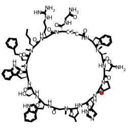 CCCC[C@H]1C(=O)N[C@@H](CCCNC(=N)N)C(=O)N[C@H](C(=O)NCC(N)=O)CSCC(=O)N[C@@H](Cc2ccccc2)C(=O)N(C)[C@@H](C)C(=O)N[C@@H](CC(N)=O)C(=O)N2CCC[C@H]2C(=O)N[C@@H](Cc2cnc[nH]2)C(=O)N[C@@H](CC(C)C)C(=O)N(C)CC(=O)N[C@@H](Cc2c[nH]c3ccccc23)C(=O)N[C@@H](CO)C(=O)N[C@@H](Cc2c[nH]c3ccccc23)C(=O)N(C)[C@@H](COCc2ccccc2)C(=O)N1C